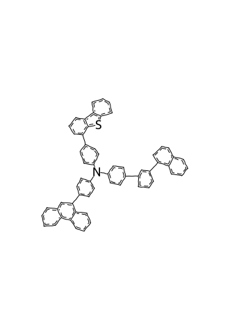 c1cc(-c2ccc(N(c3ccc(-c4cc5ccccc5c5ccccc45)cc3)c3ccc(-c4cccc5c4sc4ccccc45)cc3)cc2)cc(-c2cccc3ccccc23)c1